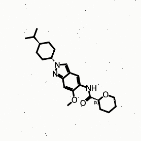 COc1cc2nn([C@H]3CC[C@H](C(C)C)CC3)cc2cc1NC(=O)[C@@H]1CCCCO1